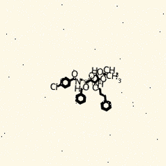 CC1(C)O[C@H]2O[C@H]([C@@H](CNC(=O)c3ccc(Cl)cc3)OCc3ccccc3)[C@H](OCCCc3ccccc3)[C@H]2O1